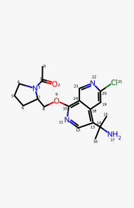 CC(=O)N1CCCC1COc1ncc(C(C)(C)N)c2cc(Cl)ncc12